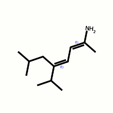 C/C(N)=C\C=C(/CC(C)C)C(C)C